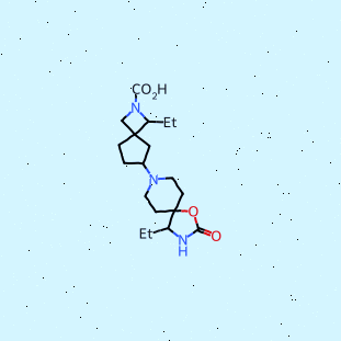 CCC1N(C(=O)O)CC12CCC(N1CCC3(CC1)OC(=O)NC3CC)C2